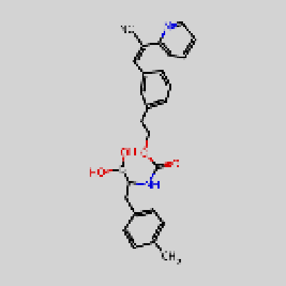 Cc1ccc(CC(NC(=O)OCCc2cccc(C=C(C#N)c3ccccn3)c2)B(O)O)cc1